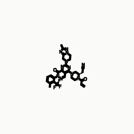 C=CC(=O)N1CCN(c2nc(N3CCn4nc(C)nc4C3)nc3c(=O)n(-c4cccc(C)c4C(F)(F)F)ncc23)C[C@@H]1CC#N